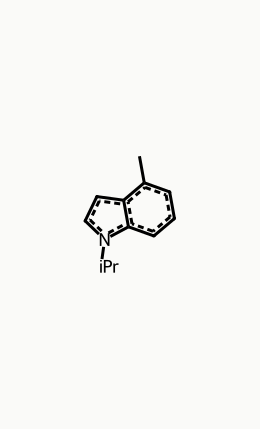 Cc1cccc2c1ccn2C(C)C